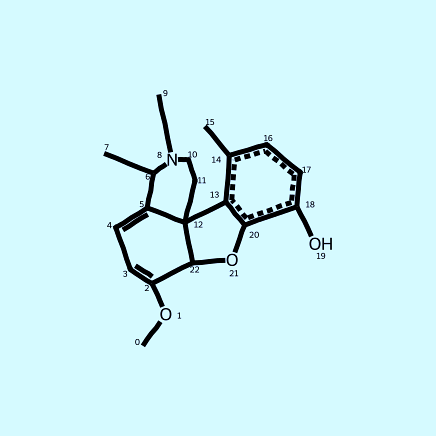 COC1=CC=C2C(C)N(C)CCC23c2c(C)ccc(O)c2OC13